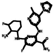 Cc1ncc(Nc2nc(NC3CCCC(F)C3N)c(F)cc2C(N)=O)cc1-n1nccn1